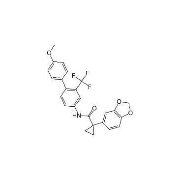 COc1ccc(-c2ccc(NC(=O)C3(c4ccc5c(c4)OCO5)CC3)cc2C(F)(F)F)cc1